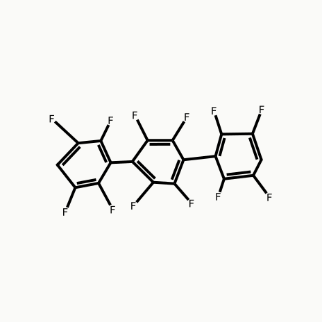 Fc1cc(F)c(F)c(-c2c(F)c(F)c(-c3c(F)c(F)cc(F)c3F)c(F)c2F)c1F